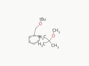 CC(C)(C)OCc1ccccc1.COC(C)(C)C